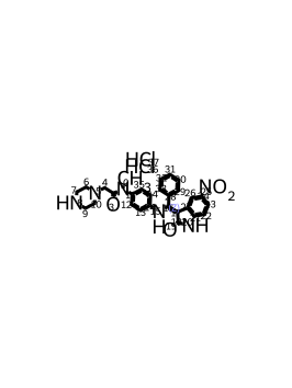 CN(C(=O)CN1CCNCC1)c1ccc(N/C(=C2\C(=O)Nc3ccc([N+](=O)[O-])cc32)c2ccccc2)cc1.Cl.Cl